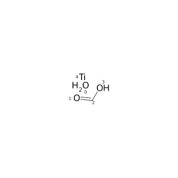 O.O=CO.[Ti]